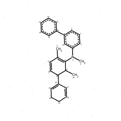 CC1=C(N(C)c2cccc(-c3ccccc3)c2)C(C)C(C2=CCCC=C2)C=C1